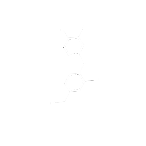 Cc1cc(Oc2ccc(CO)cc2C)ccc1Cl